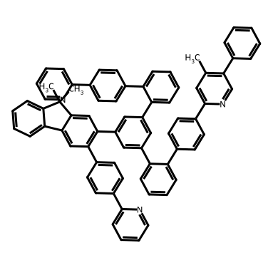 Cc1cc(-c2ccc(-c3ccccc3-c3cc(-c4ccccc4-c4ccc(-c5ccccn5)cc4)cc(-c4cc5c(cc4-c4ccc(-c6ccccn6)cc4)-c4ccccc4C5(C)C)c3)cc2)ncc1-c1ccccc1